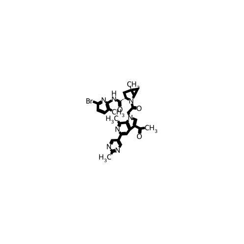 CC(=O)c1cn(CC(=O)N2C3C[C@]3(C)C[C@H]2C(=O)Nc2nc(Br)ccc2C)c2c(C)nc(-c3cnc(C)nc3)cc12